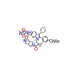 COc1ccc2c(c1)C1CC1(C(=O)N1CC3CN(C)CC3C1)Cn1c-2c(C2CCCCC2)c2ccc(C(=O)NS(=O)(=O)N(C)C)cc21